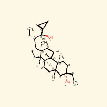 CC[C@H]([C@H](O)C1CC1)[C@H]1CC[C@H]2[C@@H]3CC[C@H]4C[C@](O)(CC)CC[C@]4(C)[C@H]3CC[C@]12C